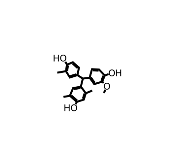 COc1cc(C(c2ccc(O)c(C)c2)c2cc(C)c(O)cc2C)ccc1O